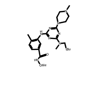 CONC(=O)c1ccc(C)c(Nc2nc(N(C)CC(C)(C)C)nc(N3CCN(C)CC3)n2)c1